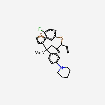 C=CC(Sc1ccc(F)cc1)C(=C)CC(NC)(c1ccc(N2CCCCC2)cc1)c1ccsc1